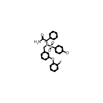 NC(=O)[C@@H](c1ccccc1)N(Cc1cccc(Oc2ccccc2F)c1)S(=O)(=O)c1ccc(Cl)cc1